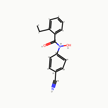 CCc1ccccc1C(=O)N(O)c1ccc(C#N)cc1